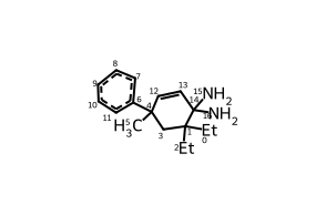 CCC1(CC)CC(C)(c2ccccc2)C=CC1(N)N